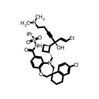 CC/C=C/[C@@](O)(C#CCCN(C)C)[C@@H]1CC[C@H]1CN1C[C@@]2(CCCc3cc(Cl)ccc32)COc2ccc(C(=O)NS(=O)(=O)C(C)C)cc21